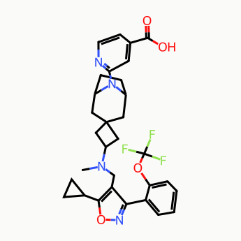 CN(Cc1c(-c2ccccc2OC(F)(F)F)noc1C1CC1)C1CC2(C1)CC1CCC(C2)N1c1cc(C(=O)O)ccn1